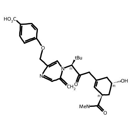 C=C1C=NC(COc2ccc(C(=O)O)cc2)=CN1[C@H](C(=O)CC1=C[C@H](C(=O)NC)C[C@@H](O)C1)C(C)(C)C